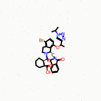 CC(Oc1ccc(Br)c2c1[C@@H](CN1Cc3ccccc3C1=O)N(C(=O)[C@@H]1CCCC[C@@H]1C(=O)O)CC2)c1cn(C(C)C)nn1